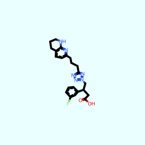 O=C(O)CC(Cn1nnc(CCCc2ccc3c(n2)NCCC3)n1)c1cccc(F)c1